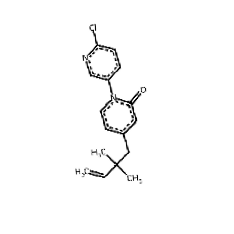 C=CC(C)(C)Cc1ccn(-c2ccc(Cl)nc2)c(=O)c1